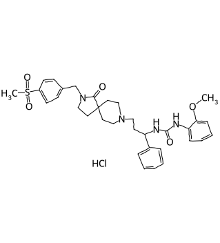 COc1ccccc1NC(=O)NC(CCN1CCC2(CC1)CCN(Cc1ccc(S(C)(=O)=O)cc1)C2=O)c1ccccc1.Cl